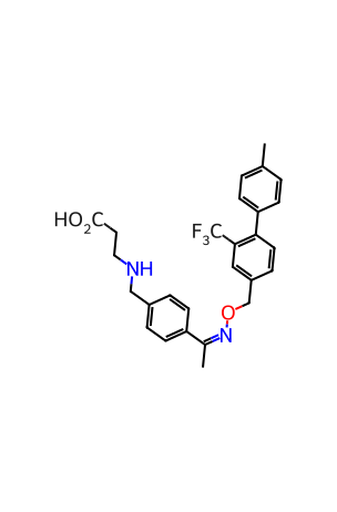 CC(=NOCc1ccc(-c2ccc(C)cc2)c(C(F)(F)F)c1)c1ccc(CNCCC(=O)O)cc1